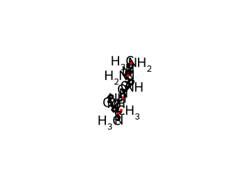 C/C=C(/S/C=N\C)c1ccc(CNC(=O)[C@@H]2CCCN2)c(OCCCC2CCN(C(=O)CC(=O)Nc3cccc(Sc4ncc(N5CCC(C)(N)CC5)nc4N)c3)CC2)c1